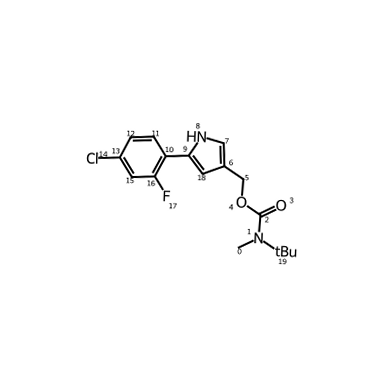 CN(C(=O)OCc1c[nH]c(-c2ccc(Cl)cc2F)c1)C(C)(C)C